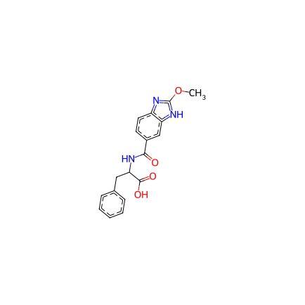 COc1nc2ccc(C(=O)NC(Cc3ccccc3)C(=O)O)cc2[nH]1